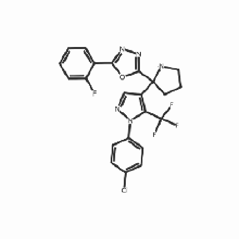 Fc1ccccc1-c1nnc(C2(c3cnn(-c4ccc(Cl)cc4)c3C(F)(F)F)CCC[N]2)o1